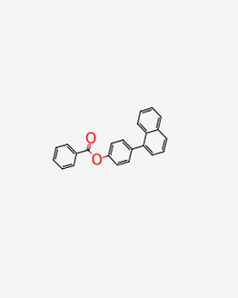 O=C(Oc1ccc(-c2cccc3ccccc23)cc1)c1ccccc1